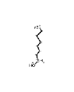 CCCCCCCCCC[SiH2]O